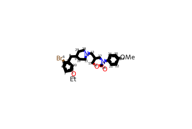 CCOc1ccc(Br)c(CC2CCN(CC3COC(=O)N(c4ccc(OC)cc4)C3)CC2)c1